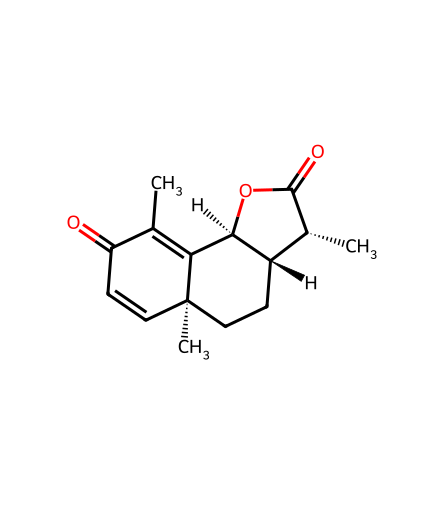 CC1=C2[C@H]3OC(=O)[C@H](C)[C@@H]3CC[C@@]2(C)C=CC1=O